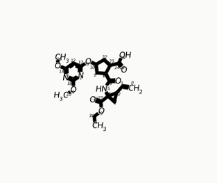 C=CC1CC1(NC(=O)C1CC(Oc2cc(OC)nc(OC)n2)CC1C(=O)O)C(=O)OCC